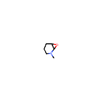 CN1CCCC2OC21